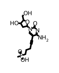 CP(=O)(O)CCCC#Cc1cn(C2CC(O)C(CO)O2)c(=O)nc1N